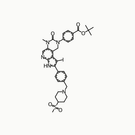 CN1C(=O)N(c2ccc(C(=O)OC(C)(C)C)cc2)Cc2c1cnc1[nH]c(-c3ccc(CN4CCC(S(C)(=O)=O)CC4)cc3)c(I)c21